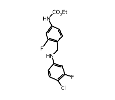 CCOC(=O)Nc1ccc(CNc2ccc(Cl)c(F)c2)c(F)c1